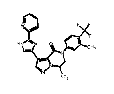 Cc1cc(N2CC(C)n3ncc(-c4c[nH]c(-c5ccccn5)n4)c3C2=O)ccc1C(F)(F)F